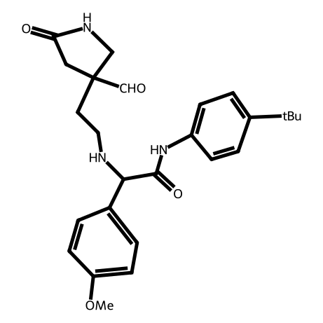 COc1ccc(C(NCCC2(C=O)CNC(=O)C2)C(=O)Nc2ccc(C(C)(C)C)cc2)cc1